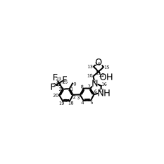 Cc1c(-c2ccc3c(c2)N(CC2(O)COC2)CN3)cccc1C(F)(F)F